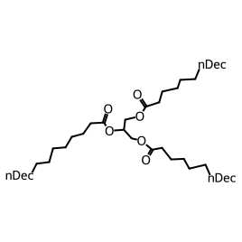 CCCCCCCCCCCCCCCCCC(=O)OC(COC(=O)CCCCCCCCCCCCCCC)COC(=O)CCCCCCCCCCCCCCC